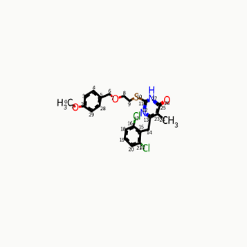 COc1ccc(COCCSc2nc(Cc3c(Cl)cccc3Cl)c(C)c(=O)[nH]2)cc1